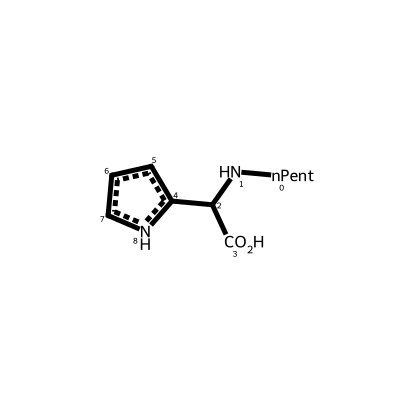 CCCCCNC(C(=O)O)c1ccc[nH]1